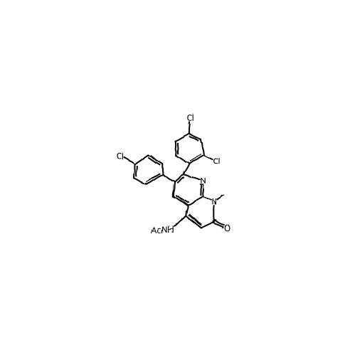 CC(=O)Nc1cc(=O)n(C)c2nc(-c3ccc(Cl)cc3Cl)c(-c3ccc(Cl)cc3)cc12